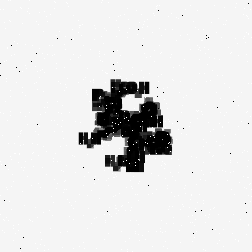 CNC(Cc1ccccc1)C(=O)NC(CCCNC(=N)N)C(=O)NC(Cc1c[nH]c2ccccc12)C(=O)NC(CCCCN)C(=O)N1CCCC1C(=O)NC(C(=O)NCC(=O)O)C(C)C